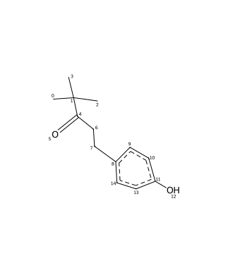 CC(C)(C)C(=O)CCc1ccc(O)cc1